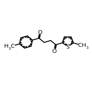 Cc1ccc(C(=O)CCC(=O)c2ccc(C)s2)cc1